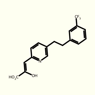 O=C(O)/C(O)=C/c1ccc(CCc2cccc(C(F)(F)F)c2)cn1